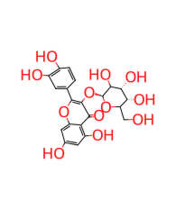 O=c1c(O[C@@H]2OC(CO)[C@@H](O)[C@@H](O)C2O)c(-c2ccc(O)c(O)c2)oc2cc(O)cc(O)c12